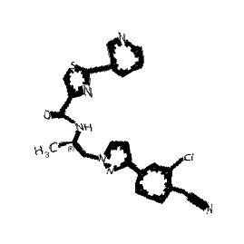 C[C@H](Cn1ccc(-c2ccc(C#N)c(Cl)c2)n1)NC(=O)c1csc(-c2cccnc2)n1